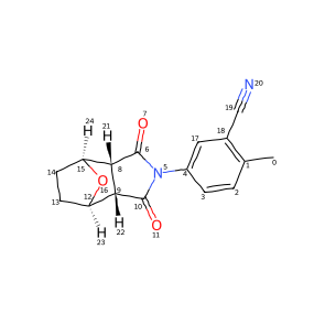 Cc1ccc(N2C(=O)[C@@H]3[C@H](C2=O)[C@H]2CC[C@@H]3O2)cc1C#N